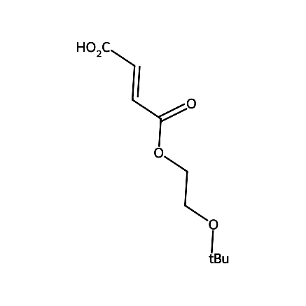 CC(C)(C)OCCOC(=O)/C=C/C(=O)O